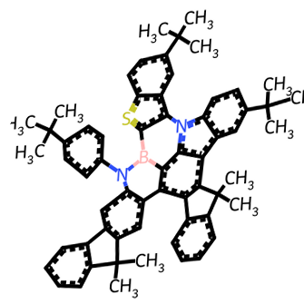 CC(C)(C)c1ccc(N2B3c4sc5ccc(C(C)(C)C)cc5c4-n4c5ccc(C(C)(C)C)cc5c5c6c(c(c3c54)-c3cc4c(cc32)-c2ccccc2C4(C)C)-c2ccccc2C6(C)C)cc1